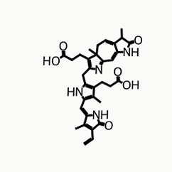 C=CC1=C(C)/C(=C/c2[nH]c(CC3=C(CCC(=O)O)C4(C)CC=C5C(=CC4=N3)NC(=O)C5C)c(CCC(=O)O)c2C)NC1=O